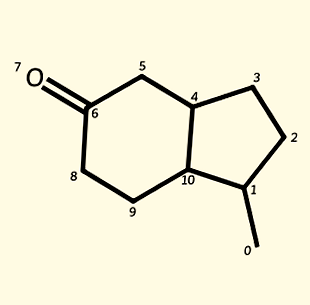 CC1CCC2CC(=O)CCC12